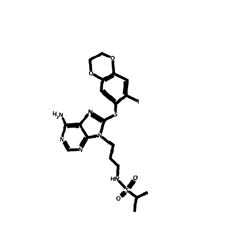 CC(C)S(=O)(=O)NCCCn1c(Sc2cc3c(cc2I)OCCO3)nc2c(N)ncnc21